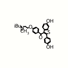 CCC(C)N(C)CCOc1ccc(C(=O)c2c(-c3ccc(O)cc3)sc3cc(O)ccc23)cc1